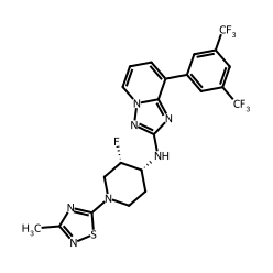 Cc1nsc(N2CC[C@@H](Nc3nc4c(-c5cc(C(F)(F)F)cc(C(F)(F)F)c5)cccn4n3)[C@@H](F)C2)n1